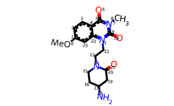 COc1ccc2c(=O)n(C)c(=O)n(CCN3CCC(N)CC3=O)c2c1